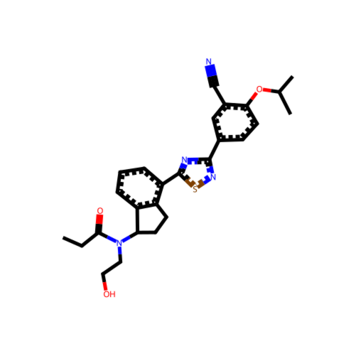 CCC(=O)N(CCO)C1CCc2c(-c3nc(-c4ccc(OC(C)C)c(C#N)c4)ns3)cccc21